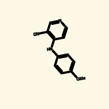 COc1ccc(Nc2ccncc2N=O)cc1